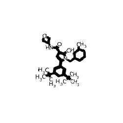 Cc1c(C(=O)NC2COC2)cc(-c2cc(C(C)(C)C)cc(C(C)(C)C)c2)n1CC1CCCC(C)C1